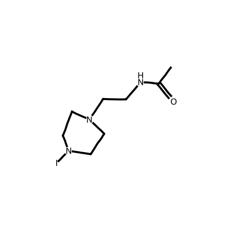 CC(=O)NCCN1CCN(I)CC1